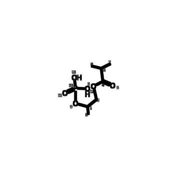 CC(COC(=O)C(C)C)OP(=O)(O)O